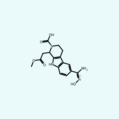 COC(=O)CC1c2[nH]c3ccc(/C(N)=N\O)cc3c2CCN1C(=O)O